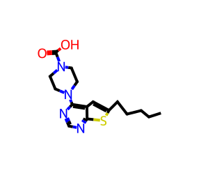 CCCCCc1cc2c(N3CCN(C(=O)O)CC3)ncnc2s1